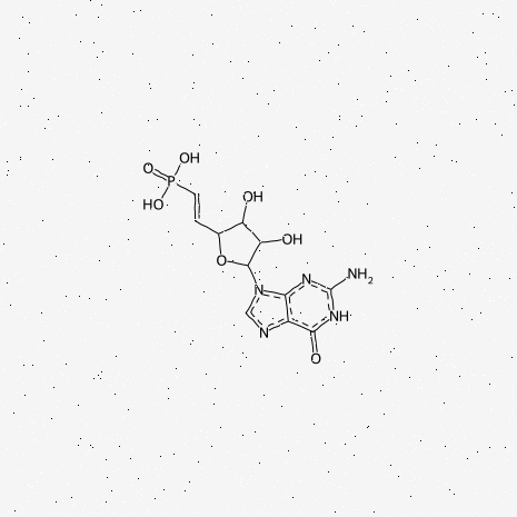 Nc1nc2c(ncn2C2OC(C=CP(=O)(O)O)C(O)C2O)c(=O)[nH]1